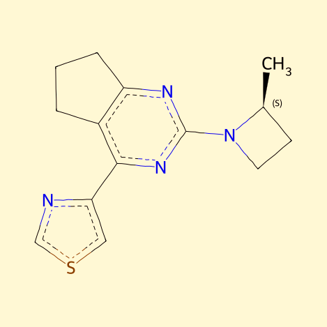 C[C@H]1CCN1c1nc2c(c(-c3cscn3)n1)CCC2